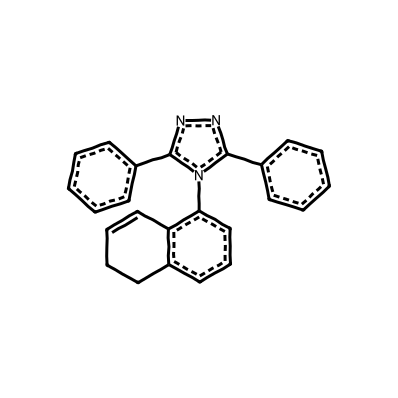 C1=Cc2c(cccc2-n2c(-c3ccccc3)nnc2-c2ccccc2)CC1